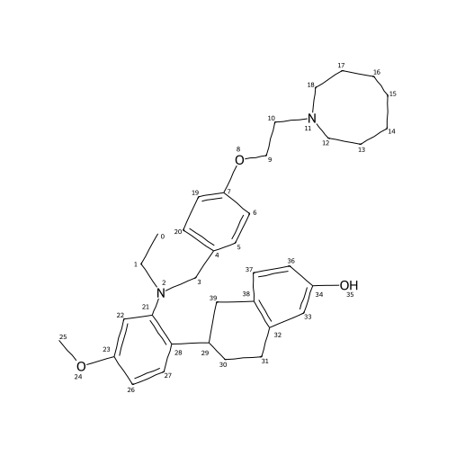 CCN(Cc1ccc(OCCN2CCCCCCC2)cc1)c1cc(OC)ccc1C1CCc2cc(O)ccc2C1